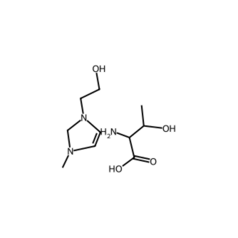 CC(O)C(N)C(=O)O.CN1C=CN(CCO)C1